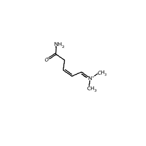 C[N+](C)=C/C=C\CC(N)=O